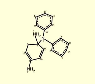 NC1=CCC(N)(N(c2ccccc2)c2ccccc2)C=C1